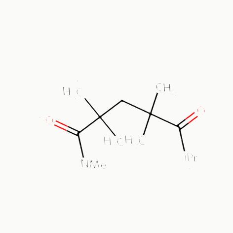 CNC(=O)C(C)(C)CC(C)(C)C(=O)C(C)C